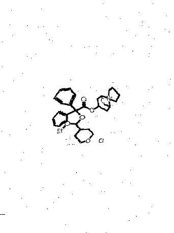 CCOC(OC(C(=O)OC1CC2CCC(C1)[N+]21CCCC1)(c1ccccc1)c1ccccc1)C1CCOCC1.[Cl-]